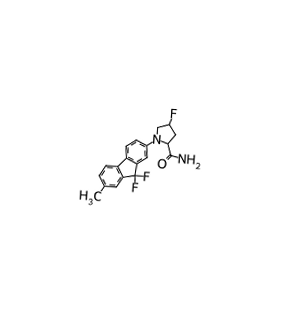 Cc1ccc2c(c1)C(F)(F)c1cc(N3CC(F)CC3C(N)=O)ccc1-2